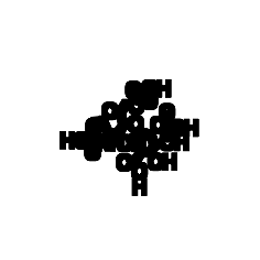 CC1OC(COS(=O)(=O)O)C(OC2OC(C(=O)O)C(O)C(O)C2OS(=O)(=O)O)C(O)C1NS(=O)(=O)O